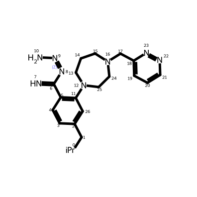 CC(C)Cc1ccc(C(=N)/N=N\N)c(N2CCCN(Cc3cccnn3)CC2)c1